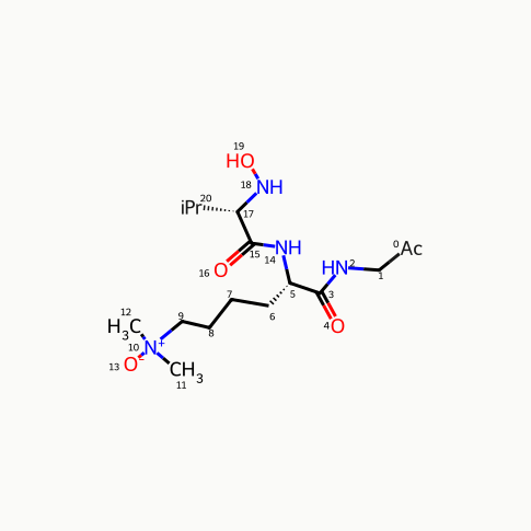 CC(=O)CNC(=O)[C@H](CCCC[N+](C)(C)[O-])NC(=O)[C@@H](NO)C(C)C